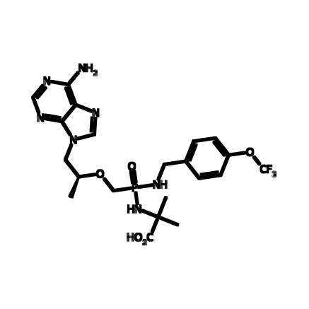 C[C@@H](Cn1cnc2c(N)ncnc21)OCP(=O)(NCc1ccc(OC(F)(F)F)cc1)NC(C)(C)C(=O)O